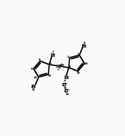 CCC1=C[C](CC)([Hf+2][C]2(CC)C=CC(CC)=C2)C=C1.[Cl-].[Cl-]